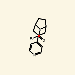 O=C(O)N1C2CCC1CC(c1ccncc1)C2